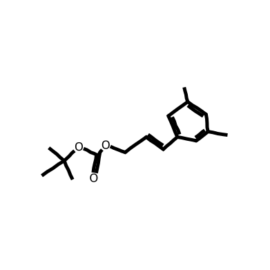 Cc1cc(C)cc(/C=C/COC(=O)OC(C)(C)C)c1